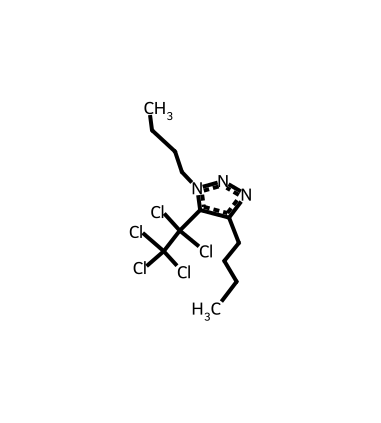 CCCCc1nnn(CCCC)c1C(Cl)(Cl)C(Cl)(Cl)Cl